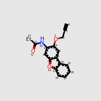 C#CCOc1cc2c(cc1NC(=O)CC)oc1ccccc12